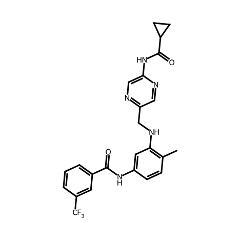 Cc1ccc(NC(=O)c2cccc(C(F)(F)F)c2)cc1NCc1cnc(NC(=O)C2CC2)cn1